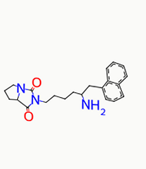 NC(CCCCN1C(=O)C2CCCN2C1=O)Cc1cccc2ccccc12